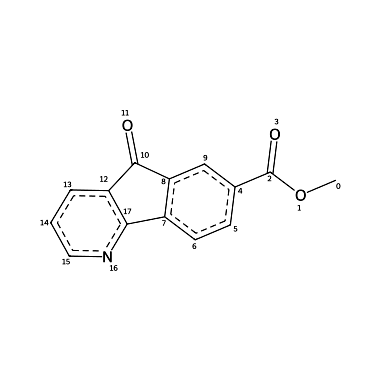 COC(=O)c1ccc2c(c1)C(=O)c1cccnc1-2